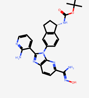 CC(C)(C)OC(=O)N[C@H]1CCc2cc(-n3c(-c4cccnc4N)nc4ccc(/C(N)=N/O)nc43)ccc21